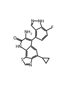 Nc1c(-c2ccc(F)c3[nH]ncc23)c2cc(C3CC3)c3ncsc3c2[nH]c1=O